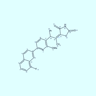 COc1nc(-c2ccc3cccc(F)c3c2)ccc1C(/C(C)=C1/OC(=O)NC1=O)C(C)C